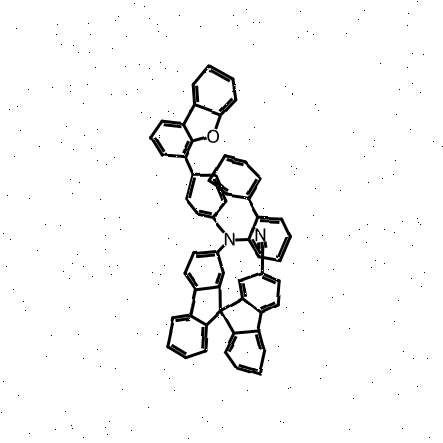 N#Cc1ccc2c(c1)C1(c3ccccc3-2)c2ccccc2-c2ccc(N(c3ccc(-c4cccc5c4oc4ccccc45)cc3)c3ccccc3-c3ccccc3)cc21